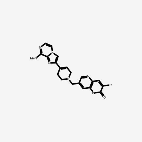 CCc1cc2ncc(CN3CC=C(c4cn5ccnc(NC)c5n4)CC3)cc2[nH]c1=O